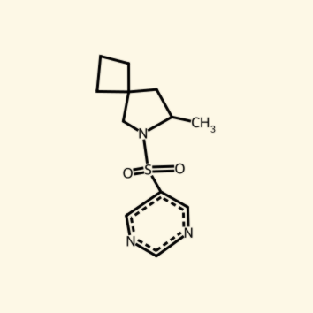 CC1CC2(CCC2)CN1S(=O)(=O)c1cncnc1